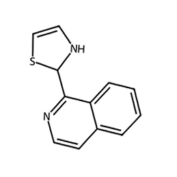 C1=CSC(c2nccc3ccccc23)N1